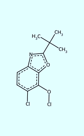 CC(C)(C)c1nc2ccc(Cl)c(OCl)c2o1